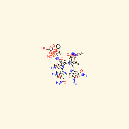 C/C1=C2N=C(/C=C3N=C(/C(C)=C4\[N-]C(C(CC(N)=O)C4(C)CCC(=O)NCC(C)OP(=O)(O)OC4C(CO)OC(Oc5ccccc5)C4O)C4(C)N=C1C(CCC(N)=O)C4(C)CC(N)=O)C(CCC(N)=O)C\3(C)C)C(CCC(N)=O)C/2(C)CC(N)=O.O.[C-]#N.[Co+3]